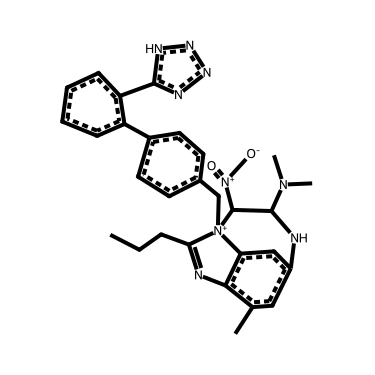 CCCC1=Nc2c(C)cc3cc2[N+]1(Cc1ccc(-c2ccccc2-c2nnn[nH]2)cc1)C([N+](=O)[O-])C(N(C)C)N3